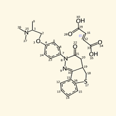 CC(COc1ccc(N2N=C3c4ccccc4SCC3CC2=O)cc1)N(C)C.O=C(O)/C=C/C(=O)O